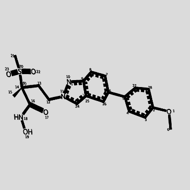 COc1ccc(-c2ccc3nn(CC[C@](C)(C(=O)NO)S(C)(=O)=O)cc3c2)cc1